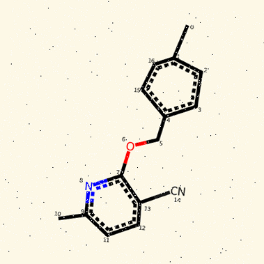 Cc1ccc(COc2nc(C)ccc2C#N)cc1